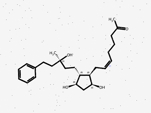 CC(=O)CCC/C=C\C[C@@H]1[C@@H](CC[C@](C)(O)CCc2ccccc2)[C@H](O)C[C@@H]1O